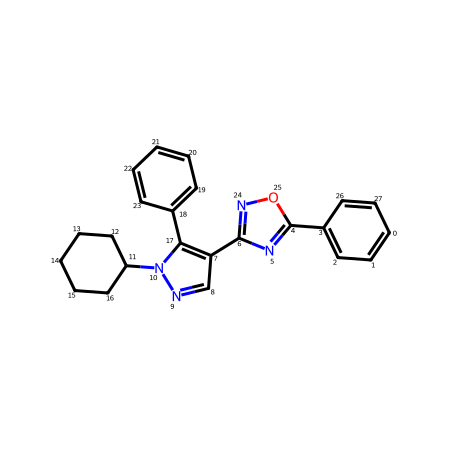 c1ccc(-c2nc(-c3cnn(C4CCCCC4)c3-c3ccccc3)no2)cc1